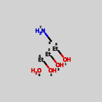 CCO.CCO.CCO.CN.O